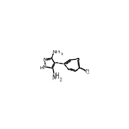 Nc1n[nH]c(N)c1-c1ccc(Cl)cc1